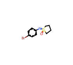 O=S1(=Nc2ccc(Br)cc2)CCCC1